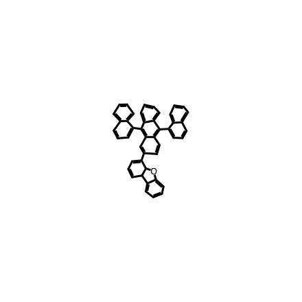 C1=CC2c3ccccc3OC2C(c2ccc3c(-c4cccc5ccccc45)c4ccccc4c(-c4cccc5ccccc45)c3c2)=C1